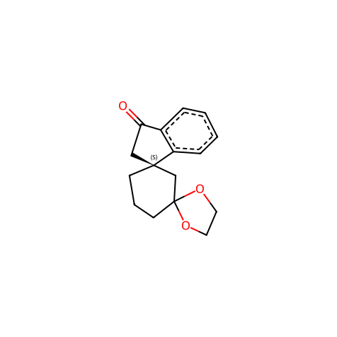 O=C1C[C@@]2(CCCC3(C2)OCCO3)c2ccccc21